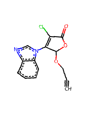 C#CCOC1OC(=O)C(Cl)=C1n1cnc2ccccc21